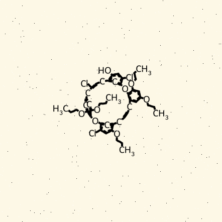 CCCOc1cc2c(c(OCCC)c1)Oc1cc(c(O)cc1Cl)C/C=C(/Cl)Cc1cc(OCCC)c(c(OCCC)c1)Oc1cc(c(OCCC)cc1Cl)C/C=C\C2